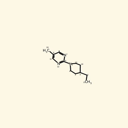 CCC1CCN(c2ncc(C)cn2)CC1